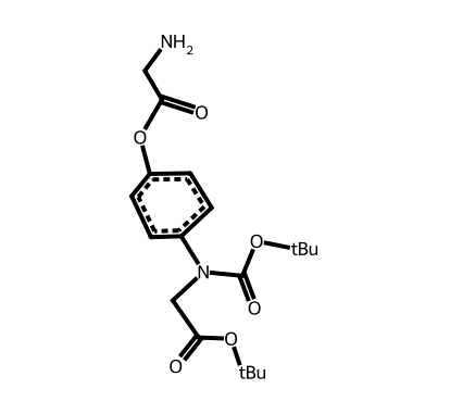 CC(C)(C)OC(=O)CN(C(=O)OC(C)(C)C)c1ccc(OC(=O)CN)cc1